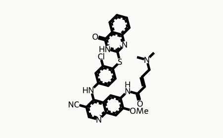 COc1cc2ncc(C#N)c(Nc3ccc(Sc4nc5ccccc5c(=O)[nH]4)c(Cl)c3)c2cc1NC(=O)/C=C/CN(C)C